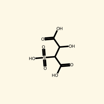 O=C(O)C(O)C(C(=O)O)S(=O)(=O)O